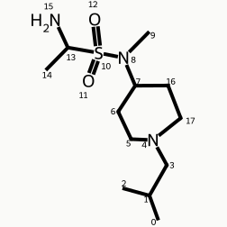 CC(C)CN1CCC(N(C)S(=O)(=O)C(C)N)CC1